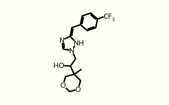 CC1(C(O)CN2C=N/C(=C/c3ccc(C(F)(F)F)cc3)N2)COCOC1